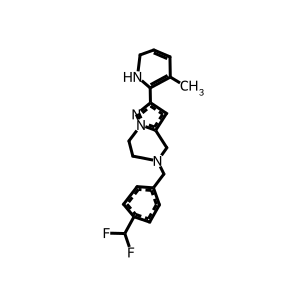 CC1=C(c2cc3n(n2)CCN(Cc2ccc(C(F)F)cc2)C3)NCC=C1